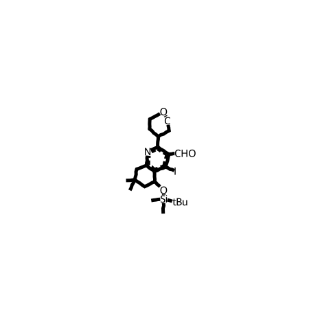 CC1(C)Cc2nc(C3CCOCC3)c(C=O)c(I)c2C(O[Si](C)(C)C(C)(C)C)C1